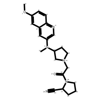 COc1ccc2ncc(N(C)C3CCN(CC(=O)N4CCCC4C#N)C3)cc2c1